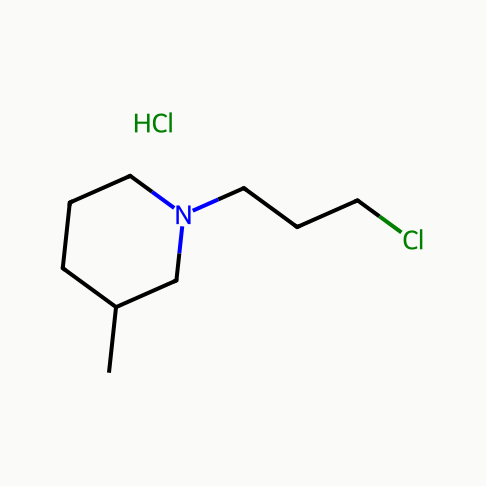 CC1CCCN(CCCCl)C1.Cl